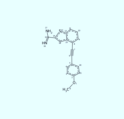 COc1ccc(C#Cc2cccc3sc(C(=N)N)cc23)cc1